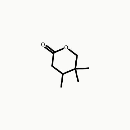 CC1CC(=O)OCC1(C)C